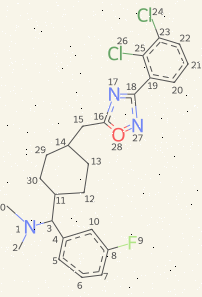 CN(C)C(c1cccc(F)c1)C1CCC(Cc2nc(-c3cccc(Cl)c3Cl)no2)CC1